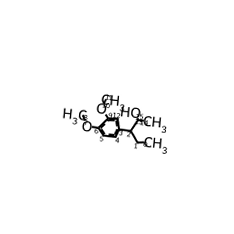 CCC(c1ccc(OC)c(OC)c1)C(C)O